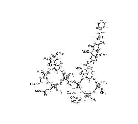 C=CC1=C(C)c2cc3[nH]c(cc4nc(cc5[nH]c(cc1n2)c(C)c5CCC(=O)O)C(CCC(=O)OC)=C4C)[C@@]1(C)C3=CC=C(C(=O)OC)[C@H]1C(=O)OC.C=CC1=C(C)c2cc3[nH]c(cc4nc(cc5[nH]c(cc1n2)c(C)c5CCC(=O)OC)C(CCC(=O)O)=C4C)[C@@]1(C)C3=CC=C(C(=O)OC)[C@H]1C(=O)OC.COc1c2occc2c(OC)c2c(=O)cc(C)oc12.NNCCc1ccccc1